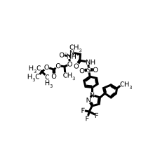 Cc1ccc(-c2cc(C(F)(F)F)nn2-c2ccc(S(=O)(=O)NC(=O)CN(C)[NH+]([O-])OC(C)OC(=O)OC(C)(C)C)cc2)cc1